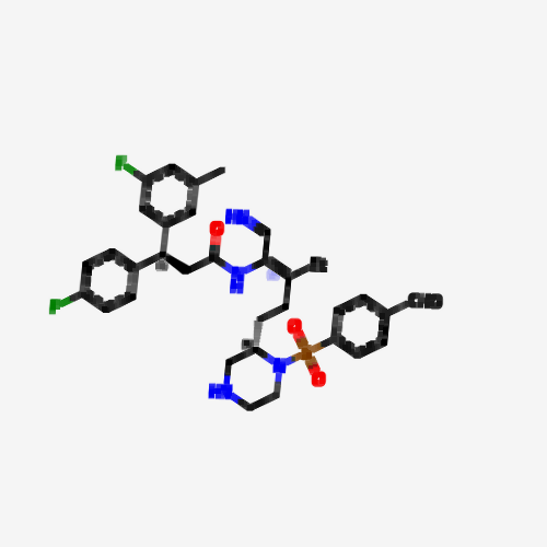 CC/C(CC[C@H]1CNCCN1S(=O)(=O)c1ccc(C=O)cc1)=C(\C=N)NC(=O)C[C@@H](c1ccc(F)cc1)c1cc(C)cc(F)c1